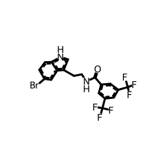 O=C(NCCc1c[nH]c2ccc(Br)cc12)c1cc(C(F)(F)F)cc(C(F)(F)F)c1